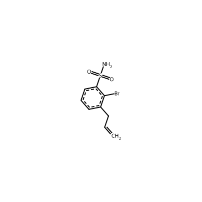 C=CCc1cccc(S(N)(=O)=O)c1Br